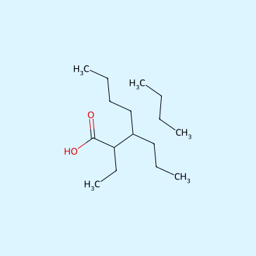 CCCC.CCCCC(CCC)C(CC)C(=O)O